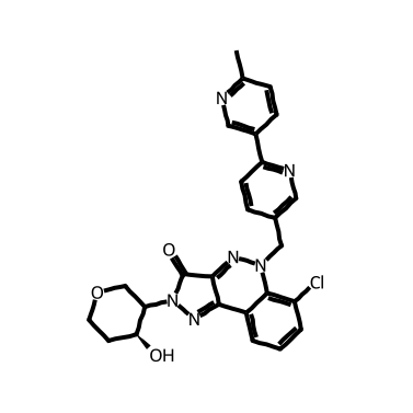 Cc1ccc(-c2ccc(Cn3nc4c(=O)n(C5COCC[C@@H]5O)nc-4c4cccc(Cl)c43)cn2)cn1